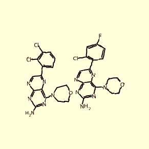 Nc1nc(N2CCOCC2)c2nc(-c3ccc(F)cc3Cl)cnc2n1.Nc1nc(N2CCOCC2)c2nc(-c3cccc(Cl)c3Cl)cnc2n1